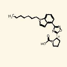 CCCCCCCn1ccc2c(-c3noc([C@@H]4CCCN4C(=O)O)n3)cccc21